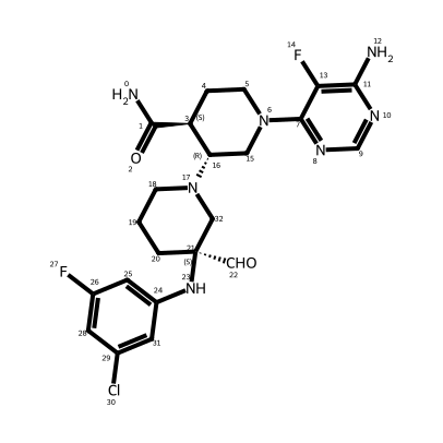 NC(=O)[C@H]1CCN(c2ncnc(N)c2F)C[C@@H]1N1CCC[C@](C=O)(Nc2cc(F)cc(Cl)c2)C1